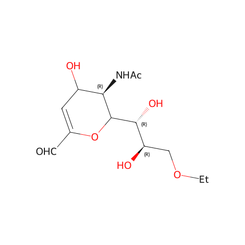 CCOC[C@@H](O)[C@@H](O)C1OC(C=O)=CC(O)[C@H]1NC(C)=O